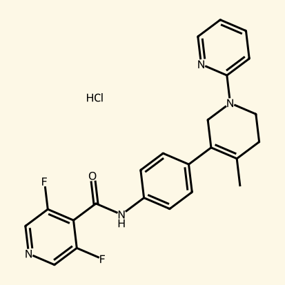 CC1=C(c2ccc(NC(=O)c3c(F)cncc3F)cc2)CN(c2ccccn2)CC1.Cl